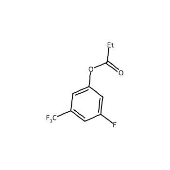 CCC(=O)Oc1cc(F)cc(C(F)(F)F)c1